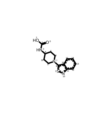 O=C(O)NC1CCN(c2snc3ccccc23)CC1